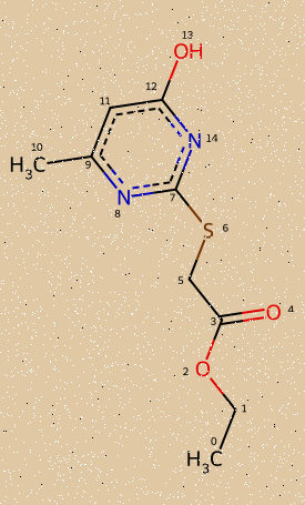 CCOC(=O)CSc1nc(C)cc(O)n1